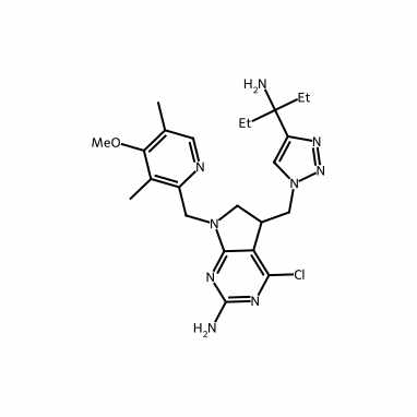 CCC(N)(CC)c1cn(CC2CN(Cc3ncc(C)c(OC)c3C)c3nc(N)nc(Cl)c32)nn1